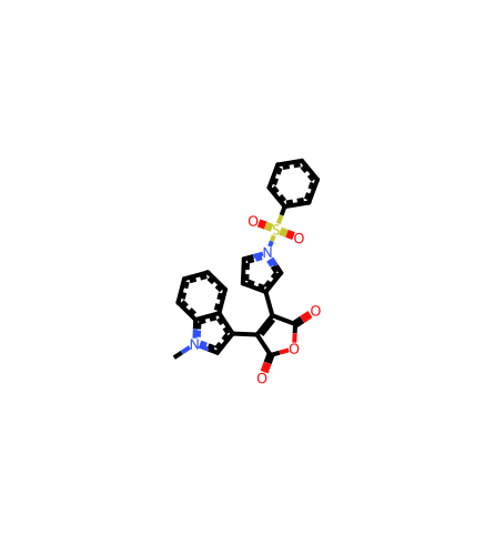 Cn1cc(C2=C(c3ccn(S(=O)(=O)c4ccccc4)c3)C(=O)OC2=O)c2ccccc21